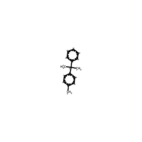 Cc1[c]cc(C(C)(C)c2ccccc2)cc1